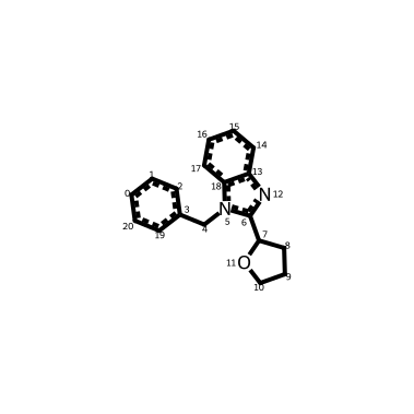 c1ccc(Cn2c(C3CCCO3)nc3ccccc32)cc1